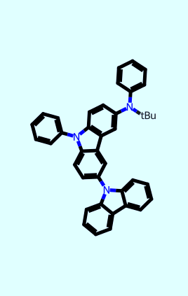 CC(C)(C)N(c1ccccc1)c1ccc2c(c1)c1cc(-n3c4ccccc4c4ccccc43)ccc1n2-c1ccccc1